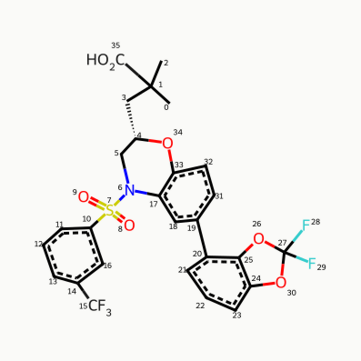 CC(C)(C[C@H]1CN(S(=O)(=O)c2cccc(C(F)(F)F)c2)c2cc(-c3cccc4c3OC(F)(F)O4)ccc2O1)C(=O)O